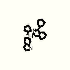 Oc1ccccc1.c1ccc(-c2nccc3ccccc23)cc1.c1ccc2ncccc2c1